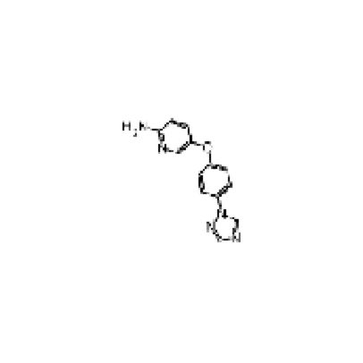 Nc1ccc(Oc2ccc(-n3cncn3)cc2)cn1